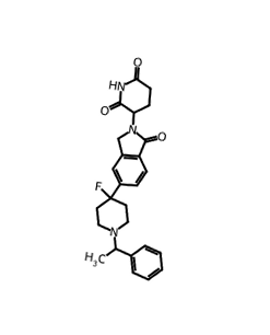 CC(c1ccccc1)N1CCC(F)(c2ccc3c(c2)CN(C2CCC(=O)NC2=O)C3=O)CC1